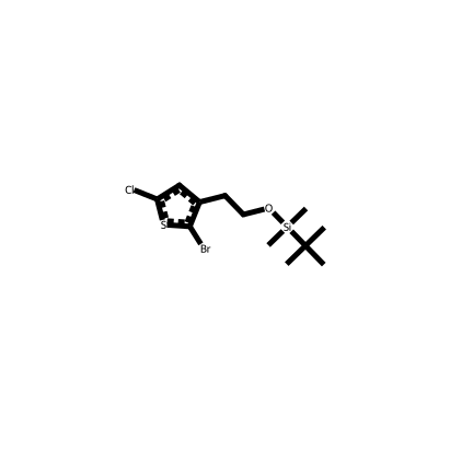 CC(C)(C)[Si](C)(C)OCCc1cc(Cl)sc1Br